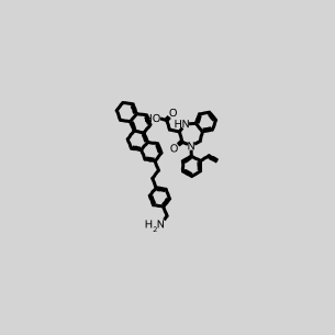 C=Cc1ccccc1N1Cc2ccccc2NC(CC(=O)O)C1=O.NCc1ccc(CCc2ccc3c(c2)=CCc2c4c(ccc2=3)=CCCC4)cc1